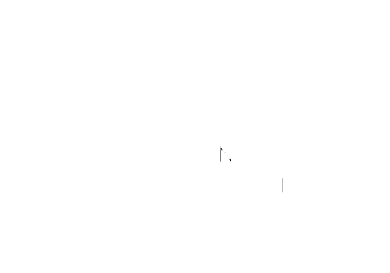 IN1CC=CCC1